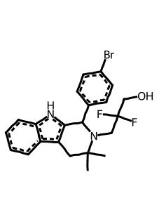 CC1(C)Cc2c([nH]c3ccccc23)C(c2ccc(Br)cc2)N1CC(F)(F)CO